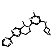 CC1c2cnc(-c3ncccn3)nc2CCN1c1cc(NC2CNC2)cc(F)n1